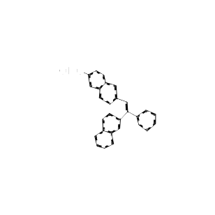 O=Cc1ccc2cc(/C=C(/c3ccccc3)c3ccc4ccccc4c3)ccc2c1